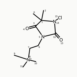 CC1(C)C(=O)N(CC[N+](C)(C)C)C(=O)N1Cl